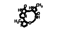 Cc1cc2c([nH]1)/C=C1\C(=O)Nc3ccc(nc31)-c1c(ccnc1C)OCCNC2=O